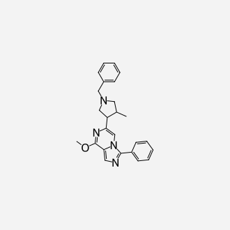 COc1nc(C2CN(Cc3ccccc3)CC2C)cn2c(-c3ccccc3)ncc12